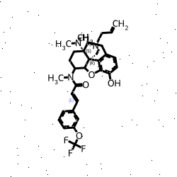 C=CCN1CC[C@]23c4c5ccc(O)c4OC2C(N(C)C(=O)/C=C/c2cccc(OC(F)(F)F)c2)CC[C@@]3(N(C)C)[C@H]1C5